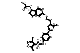 Cc1noc(C)c1S(=O)(=O)Nc1ccc(-c2nc(CCOc3ccc4c(c3)CC[C@H]4CC(=O)O)c(C)o2)cc1